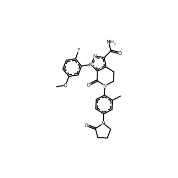 COc1ccc(F)c(-n2nc(C(N)=O)c3c2C(=O)N(c2ccc(N4CCCC4=O)cc2C)CC3)c1